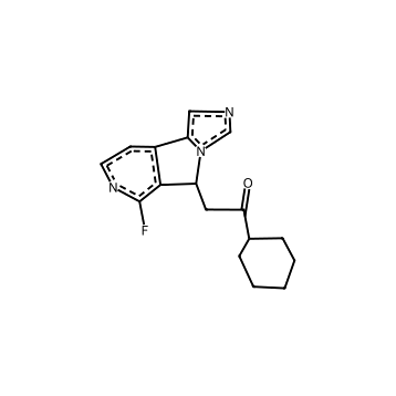 O=C(CC1c2c(ccnc2F)-c2cncn21)C1CCCCC1